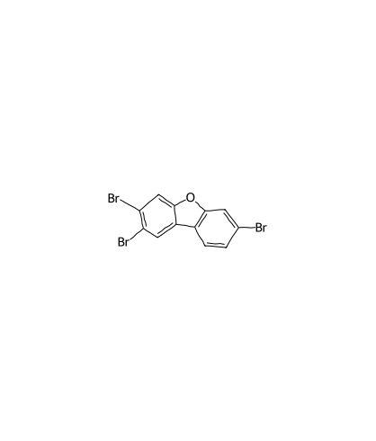 Brc1ccc2c(c1)oc1cc(Br)c(Br)cc12